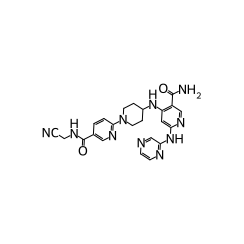 N#CCNC(=O)c1ccc(N2CCC(Nc3cc(Nc4cnccn4)ncc3C(N)=O)CC2)nc1